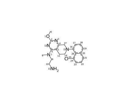 COc1nc2c(c(N(C)CCN)n1)CCN(c1cccc3cccc(Cl)c13)C2